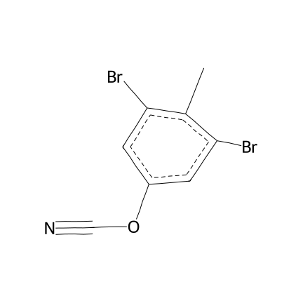 Cc1c(Br)cc(OC#N)cc1Br